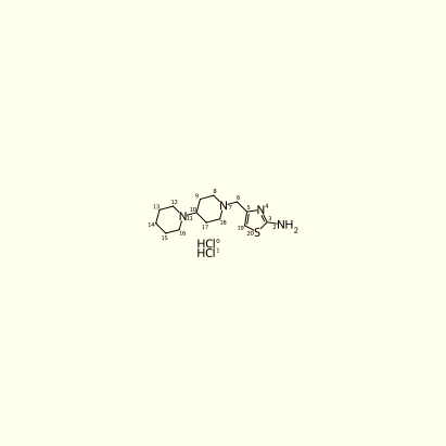 Cl.Cl.Nc1nc(CN2CCC(N3CCCCC3)CC2)cs1